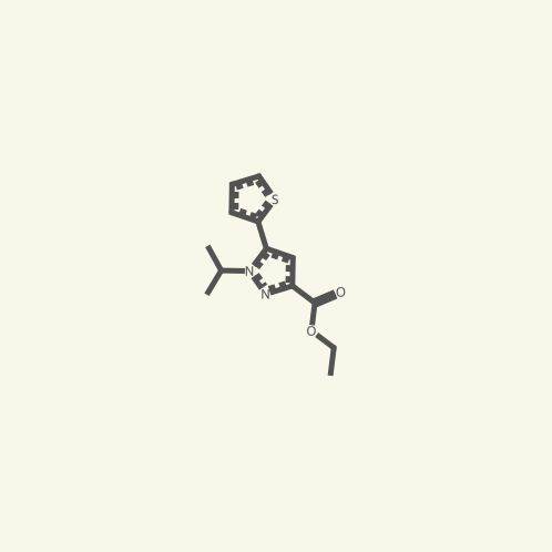 CCOC(=O)c1cc(-c2cccs2)n(C(C)C)n1